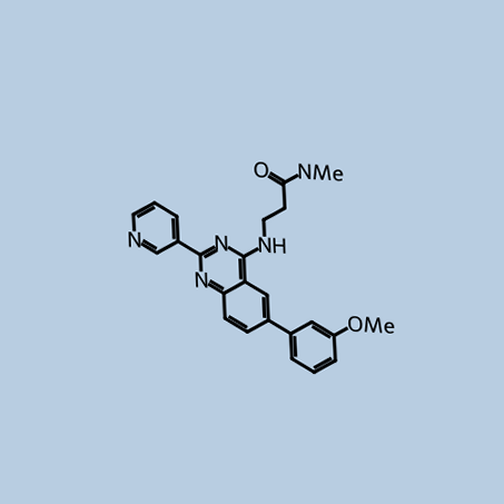 CNC(=O)CCNc1nc(-c2cccnc2)nc2ccc(-c3cccc(OC)c3)cc12